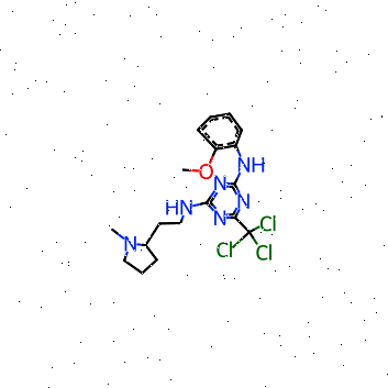 COc1ccccc1Nc1nc(NCCC2CCCN2C)nc(C(Cl)(Cl)Cl)n1